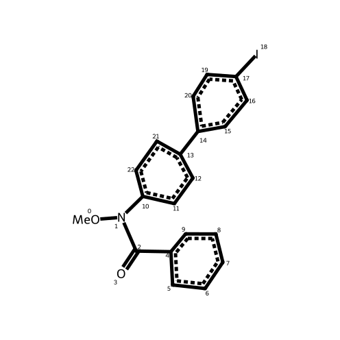 CON(C(=O)c1ccccc1)c1ccc(-c2ccc(I)cc2)cc1